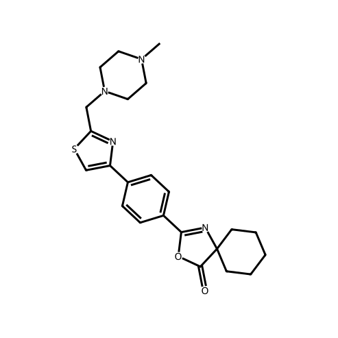 CN1CCN(Cc2nc(-c3ccc(C4=NC5(CCCCC5)C(=O)O4)cc3)cs2)CC1